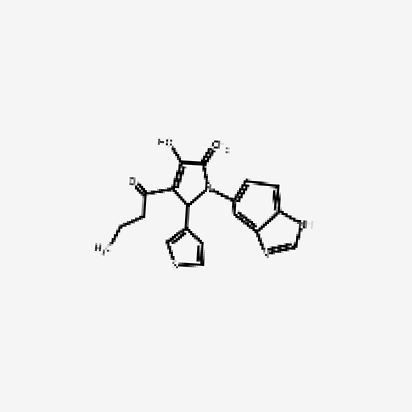 C=C1C(O)=C(C(=O)CCC)C(c2ccsc2)N1c1ccc2[nH]cnc2c1